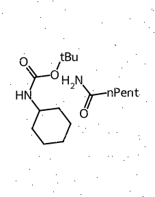 CC(C)(C)OC(=O)NC1CCCCC1.CCCCCC(N)=O